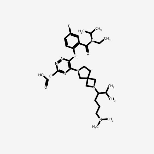 CCN(C(=O)c1cc(F)ccc1Oc1nnc(Cl)nc1N1CCC2(C1)CN(C(CCCN(C)C)C(C)C)C2)C(C)C.O=CO